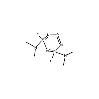 CN(C)P1(F)=NP=NP(F)(N(C)C)=N1